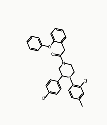 Cc1ccc(N2CCN(C(=O)Cc3ccccc3Oc3ccccc3)CC2c2ccc(Cl)cc2)c(Cl)c1